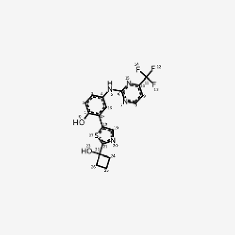 Oc1ccc(Nc2nccc(C(F)(F)F)n2)cc1-c1cnc(C2(O)CCC2)s1